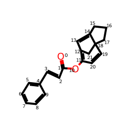 O=C(C=Cc1ccccc1)OC1=C2C=C3CCCC3(C=C1)C2